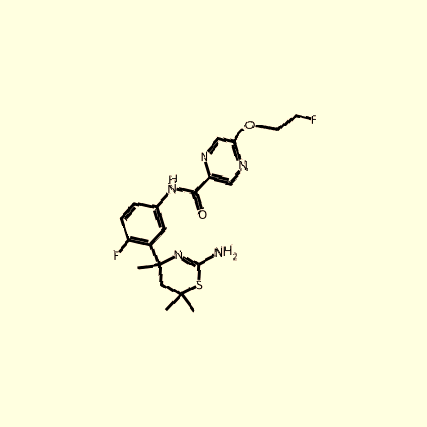 CC1(C)CC(C)(c2cc(NC(=O)c3cnc(OCCF)cn3)ccc2F)N=C(N)S1